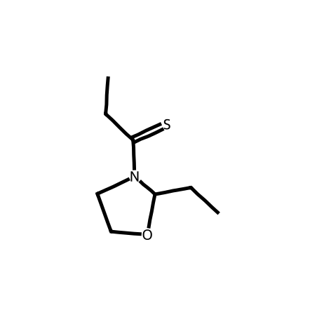 CCC(=S)N1CCOC1CC